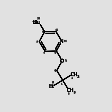 CCC(C)(C)COc1ccc(C(C)(C)C)cn1